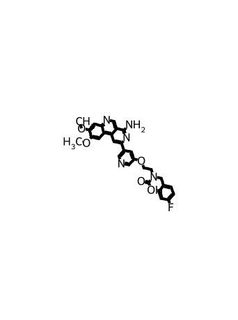 COc1cc2ncc3c(N)nc(-c4cncc(OCCN(Cc5ccc(F)cc5)C(=O)O)c4)cc3c2cc1OC